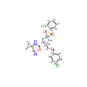 N#CC1(NC(=O)[C@@H]2C[C@@H](S(=O)(=O)c3ccccc3Cl)C[C@H]2COc2ccc(Cl)cc2)CC1